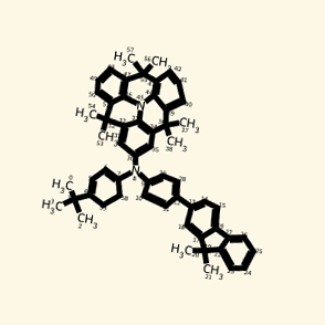 CC(C)(C)C1=CC=C(N(c2ccc(-c3ccc4c(c3)C(C)(C)c3ccccc3-4)cc2)c2cc3c4c(c2)C(C)(C)c2cccc5c2N4c2c(cccc2C3(C)C)C5(C)C)CC1